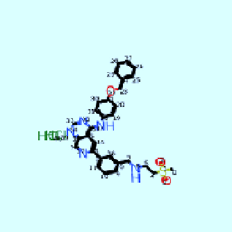 CS(=O)(=O)CCNCc1cccc(-c2cc3c(Nc4ccc(OCc5ccccc5)cc4)ncnc3cn2)c1.Cl.Cl